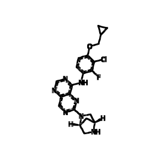 Fc1c(Nc2ncnc3cnc(N4C[C@H]5C[C@@H]4CN5)nc23)ccc(OCC2CC2)c1Cl